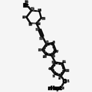 CCCCCCCOc1ccc(-c2ccc(C#CC3CCC(CC)CC3)cc2)cc1